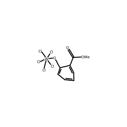 COC(=O)c1ccccc1[O][W]([Cl])([Cl])([Cl])([Cl])[Cl]